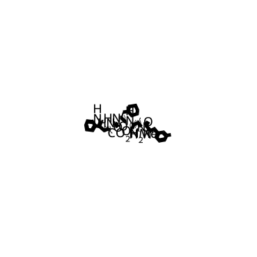 CNC(=O)[C@@H](NC(=O)[C@H](CC1CCCCC1)NC(=O)N[C@@H](Cc1c[nH]c2ccccc12)C(=O)O)[C@H](C)N(C)C(=O)[C@@H](N)Cc1cccc(C)c1